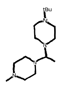 CC(N1CCN(C)CC1)N1CCN(C(C)(C)C)CC1